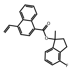 C=Cc1ccc(C(=O)OC2(C)CCc3c(F)cccc32)c2ccccc12